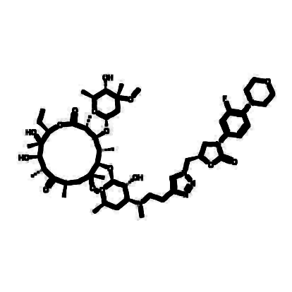 CC[C@H]1OC(=O)[C@H](C)[C@@H](O[C@H]2C[C@@](C)(OC)[C@@H](O)[C@H](C)O2)[C@H](C)[C@@H](O[C@@H]2O[C@H](C)C[C@H](N(C)CCc3cn(C[C@H]4CN(c5ccc(N6CCOCC6)c(F)c5)C(=O)O4)nn3)[C@H]2O)[C@](C)(OC)C[C@@H](C)C(=O)[C@H](C)[C@@H](O)[C@]1(C)O